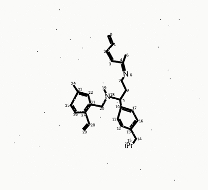 C=C/C=C\C(C)=N/CCC(c1ccc(CC(C)C)cc1)N(C)Cc1cc(C)ccc1C=C